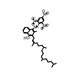 CC(=CCc1c(C)c(N=Nc2c([N+](=O)[O-])cc([N+](=O)[O-])cc2[N+](=O)[O-])c2ccccc2c1O)CCCC(C)CCCC(C)CCCC(C)C